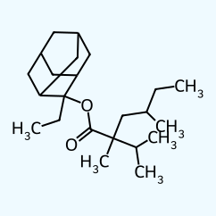 CCC(C)CC(C)(C(=O)OC1(CC)C2CC3CC(C2)CC1C3)C(C)C